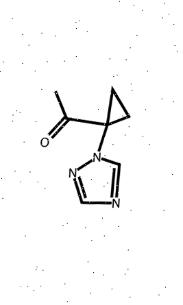 CC(=O)C1(n2cncn2)CC1